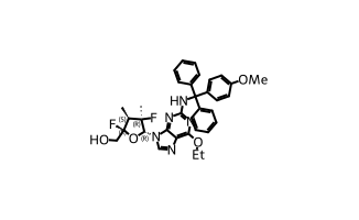 CCOc1nc(NC(c2ccccc2)(c2ccccc2)c2ccc(OC)cc2)nc2c1ncn2[C@@H]1O[C@](F)(CO)[C@@H](C)[C@@]1(C)F